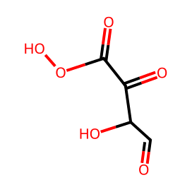 O=CC(O)C(=O)C(=O)OO